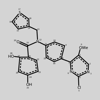 COc1cnc(Cl)nc1-c1ccc(N(Cc2ccsc2)C(=O)c2ccc(O)cc2O)cc1